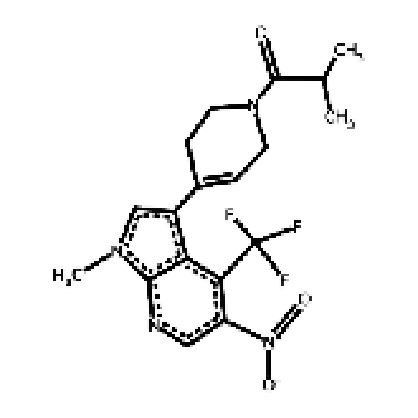 CC(C)C(=O)N1CC=C(c2cn(C)c3ncc([N+](=O)[O-])c(C(F)(F)F)c23)CC1